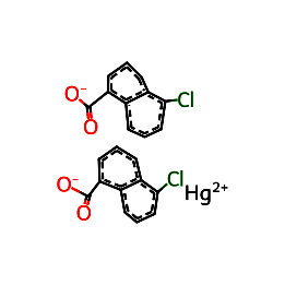 O=C([O-])c1cccc2c(Cl)cccc12.O=C([O-])c1cccc2c(Cl)cccc12.[Hg+2]